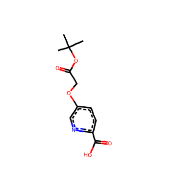 CC(C)(C)OC(=O)COc1ccc(C(=O)O)nc1